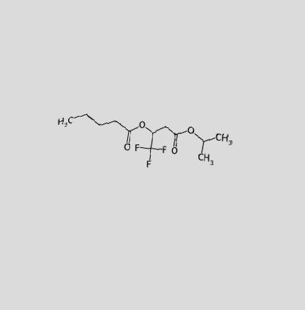 CCCCC(=O)OC(CC(=O)OC(C)C)C(F)(F)F